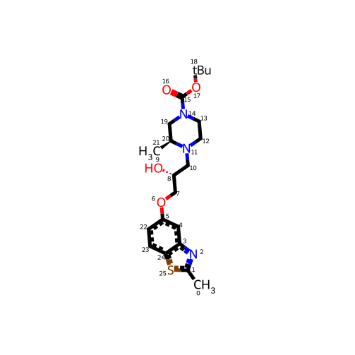 Cc1nc2cc(OC[C@H](O)CN3CCN(C(=O)OC(C)(C)C)C[C@@H]3C)ccc2s1